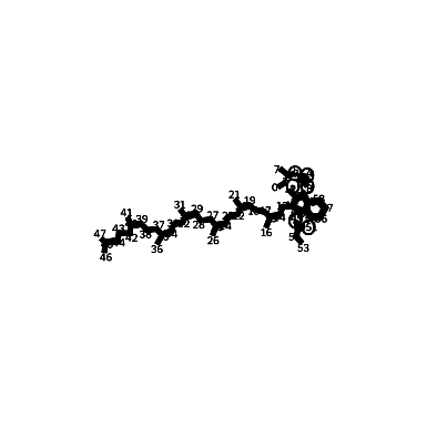 CCOP(=O)(OCC)Oc1c(C)c(CC=C(C)CCC=C(C)CCC=C(C)CCC=C(C)CCC=C(C)CCC=C(C)CCC=C(C)C)c(OC(=O)CC)c2ccccc12